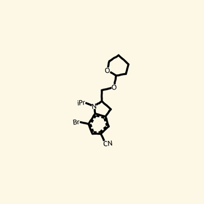 CC(C)N1c2c(Br)cc(C#N)cc2CC1COC1CCCCO1